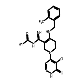 CC(C)C(=O)NC(=N)C1=C(NCc2ccccc2C(F)(F)F)CCN(c2cn[nH]c(=O)c2Cl)C1